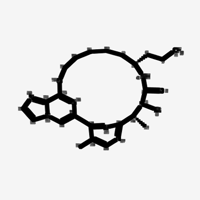 CCN1C(=O)N[C@@H](CCC(F)(F)F)CCCCCOc2nc(cn3ccnc23)-c2nc(ncc2C)[C@H]1C